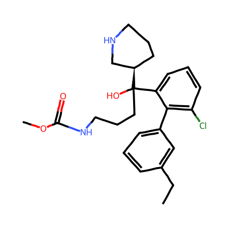 CCc1cccc(-c2c(Cl)cccc2C(O)(CCCNC(=O)OC)[C@@H]2CCCNC2)c1